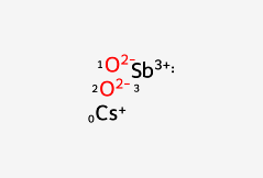 [Cs+].[O-2].[O-2].[Sb+3]